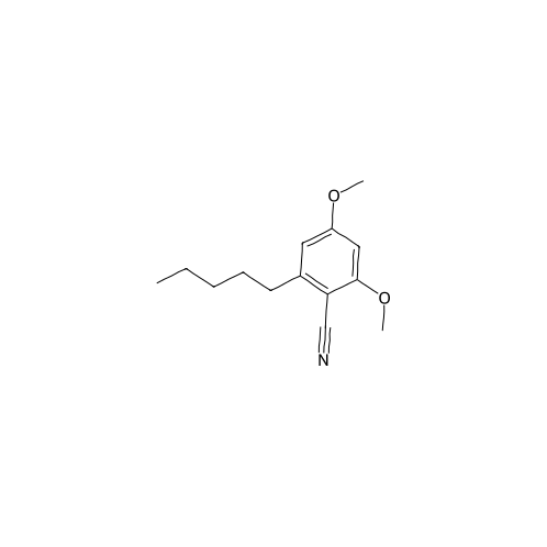 CCCCCc1cc(OC)cc(OC)c1C#N